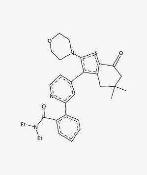 CCN(CC)C(=O)c1ccccc1-c1cc(-c2c(N3CCOCC3)sc3c2CC(C)(C)CC3=O)ccn1